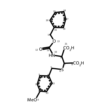 COc1ccc(CSC(C(=O)O)C(NC(=O)OCc2ccccc2)C(=O)O)cc1